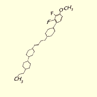 CCCC1CCC(C2CCC(/C=C/CCC3CCC(c4ccc(OC)c(F)c4F)CC3)CC2)CC1